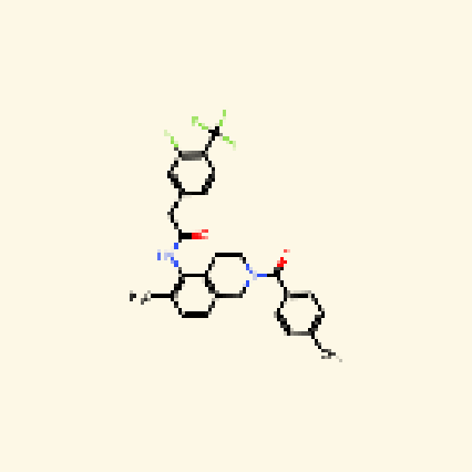 Cc1ccc(C(=O)N2CCc3c(ccc(C)c3NC(=O)Cc3ccc(C(F)(F)F)c(F)c3)C2)cc1